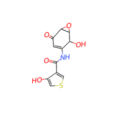 O=C(NC1=CC(=O)C2OC2C1O)c1cscc1O